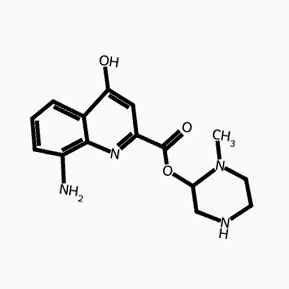 CN1CCNCC1OC(=O)c1cc(O)c2cccc(N)c2n1